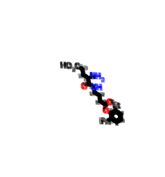 CCc1cccc(C(C)C)c1OC(=O)CCCNC(=O)[C@@H](N)CCC(=O)O